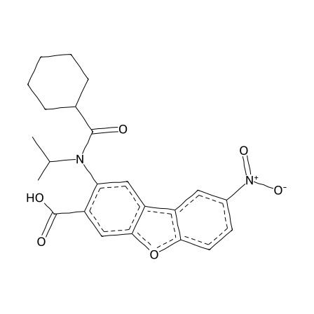 CC(C)N(C(=O)C1CCCCC1)c1cc2c(cc1C(=O)O)oc1ccc([N+](=O)[O-])cc12